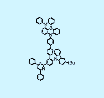 CC(C)(C)c1ccc2c(c1)c1ccccc1n2-c1ccc(-c2nc(-c3ccccc3)cc(-c3ccccc3)n2)cc1-c1ccc(-c2ccc(N3c4ccccc4B4c5ccccc5N(c5ccccc5)c5cccc3c54)cc2)cc1